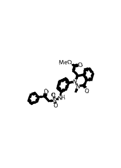 COC(=O)CC1c2ccccc2C(=O)N(C)N1c1cccc(NS(=O)(=O)CC(=O)c2ccccc2)c1